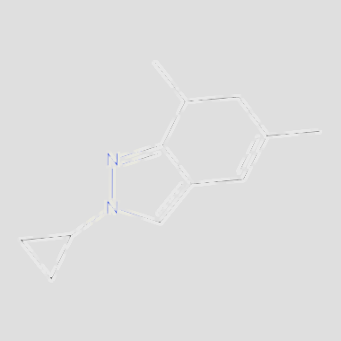 CC1=Cc2cn(C3CC3)nc2C(C)C1